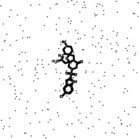 CC(=O)N1CCC2(CC1)CN1C(=O)CN(S(=O)(=O)c3cc4cc(Cl)ccc4[nH]3)CC1(CN(C)C)O2